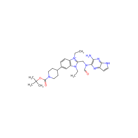 CCn1c(CN(C=O)c2nc3cc[nH]c3nc2N)[n+](CC)c2ccc(C3CCN(C(=O)OC(C)(C)C)CC3)cc21